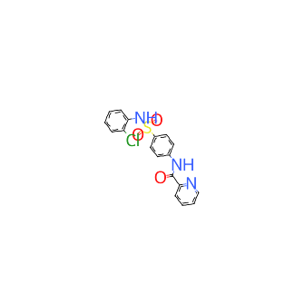 O=C(Nc1ccc(S(=O)(=O)Nc2ccccc2Cl)cc1)c1ccccn1